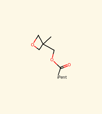 CCCC(C)C(=O)OCC1(C)COC1